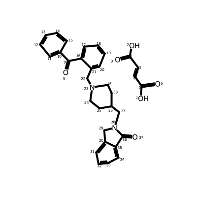 O=C(O)/C=C/C(=O)O.O=C(c1ccccc1)c1ccccc1CN1CCC(CN2Cc3ccccc3C2=O)CC1